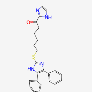 O=C(CCCCCSc1nc(-c2ccccc2)c(-c2ccccc2)[nH]1)c1ncc[nH]1